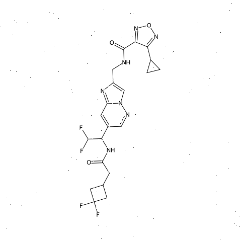 O=C(CC1CC(F)(F)C1)NC(c1cnn2cc(CNC(=O)c3nonc3C3CC3)nc2c1)C(F)F